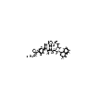 CCCCOC(=O)c1ccc(NC(=O)NCCCN(CCCC(=O)O)C2CCCc3ccccc32)cc1